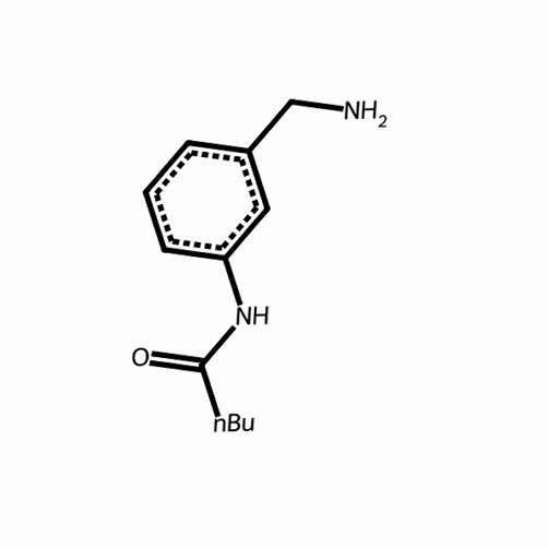 CCCCC(=O)Nc1cccc(CN)c1